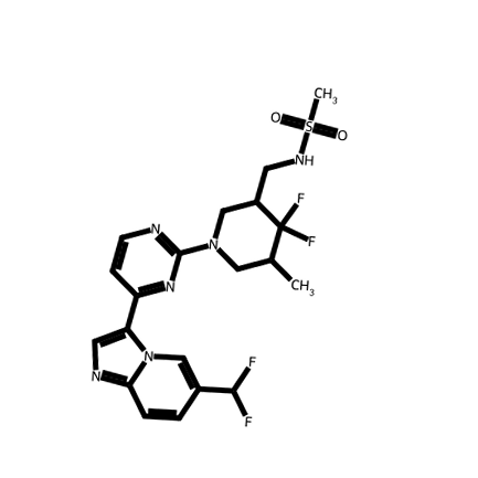 CC1CN(c2nccc(-c3cnc4ccc(C(F)F)cn34)n2)CC(CNS(C)(=O)=O)C1(F)F